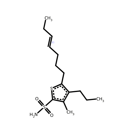 CC/C=C/CCCc1sc(S(N)(=O)=O)c(C)c1CCC